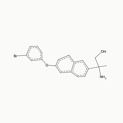 CC(N)(CO)c1ccc2cc(Oc3cccc(Br)c3)ccc2c1